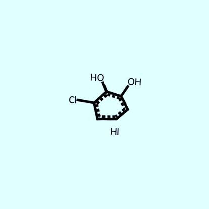 I.Oc1cccc(Cl)c1O